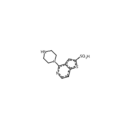 O=S(=O)(O)c1cc2c(N3CCNCC3)nccc2s1